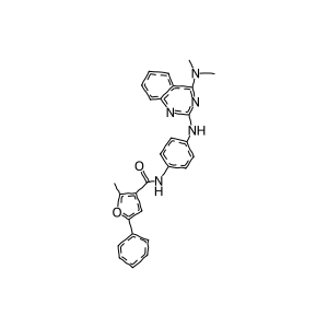 Cc1oc(-c2ccccc2)cc1C(=O)Nc1ccc(Nc2nc(N(C)C)c3ccccc3n2)cc1